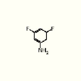 NC1=CC(F)=CC(F)C1